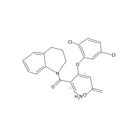 C=C(Cl)/C=C(Oc1cc(Cl)ccc1Cl)\C(=C/N)C(=O)N1CCCc2ccccc21